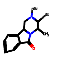 CCCCN1CC2c3ccccc3C(=O)N2C(C)C1CC